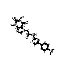 CN(C)c1ccc(-c2csc(NC(=O)Cn3cnc4c3c(=O)n(C)c(=O)n4C)n2)cc1